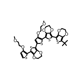 COCCOc1ccsc1-c1sc(-c2cc(OCCOC)c(-c3sc(-c4sc(C(C)(C)C)c5c4OCCO5)c4c3OCCO4)s2)c2c1OCCO2